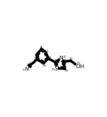 N#Cc1cccc(-c2nc(CO)cs2)c1